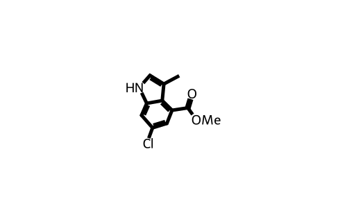 COC(=O)c1cc(Cl)cc2[nH]cc(C)c12